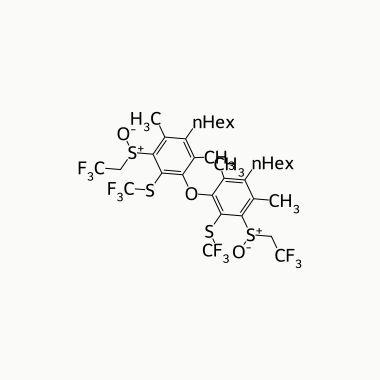 CCCCCCc1c(C)c(Oc2c(C)c(CCCCCC)c(C)c([S+]([O-])CC(F)(F)F)c2SC(F)(F)F)c(SC(F)(F)F)c([S+]([O-])CC(F)(F)F)c1C